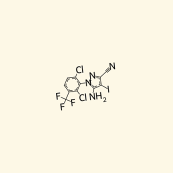 N#Cc1nn(-c2c(Cl)ccc(C(F)(F)F)c2Cl)c(N)c1I